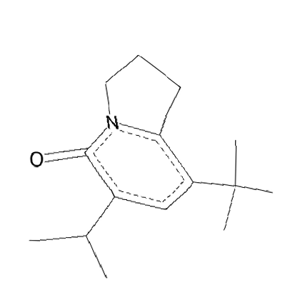 CC(C)c1cc(C(C)(C)C)c2n(c1=O)CCC2